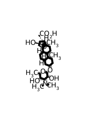 C[C@H]1O[C@H](O[C@H]2CC[C@@]3(C)[C@H](CC[C@@H]4[C@@H]3CC[C@]3(C)[C@@H]5CC[C@]43O[C@@H](O)[C@H]5CC(=O)O)C2)[C@@H](O)[C@H](N(C)C)[C@@H]1O